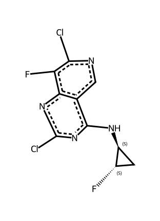 Fc1c(Cl)ncc2c(N[C@H]3C[C@@H]3F)nc(Cl)nc12